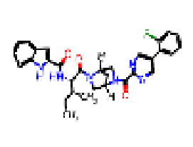 CC[C@H](C)[C@H](NC(=O)c1cc2ccccc2[nH]1)C(=O)N1C[C@@H]2C[C@H]1CN2C(=O)c1ncc(-c2ccccc2F)cn1